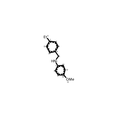 CCc1ccc(CNc2ccc(OC)cc2)cc1